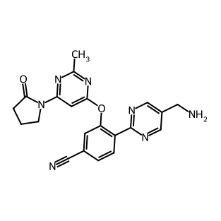 Cc1nc(Oc2cc(C#N)ccc2-c2ncc(CN)cn2)cc(N2CCCC2=O)n1